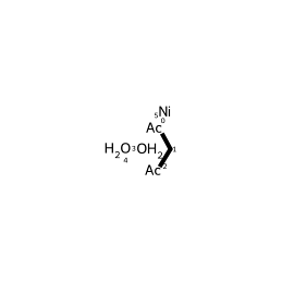 CC(=O)CC(C)=O.O.O.[Ni]